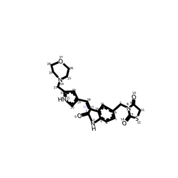 O=C1Nc2ccc(CN3C(=O)CSC3=O)cc2/C1=C/c1c[nH]c(CN2CCOCC2)c1